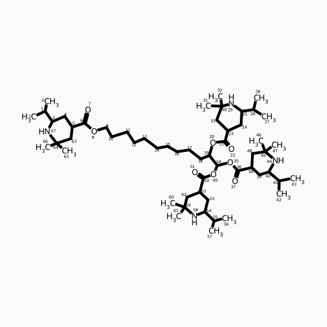 CC(C)C1CC(C(=O)OCCCCCCCCCCC(OC(=O)C2CC(C(C)C)NC(C)(C)C2)C(OC(=O)C2CC(C(C)C)NC(C)(C)C2)OC(=O)C2CC(C(C)C)NC(C)(C)C2)CC(C)(C)N1